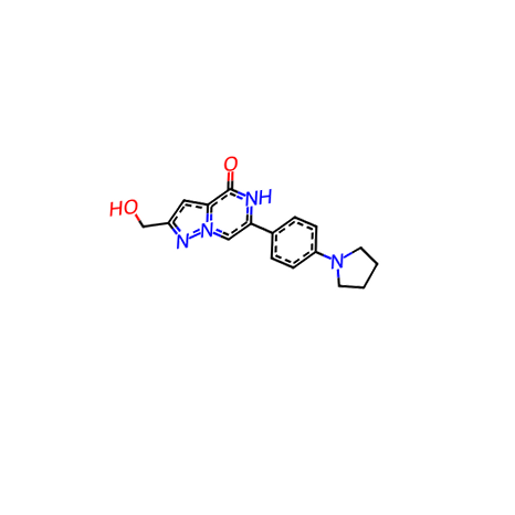 O=c1[nH]c(-c2ccc(N3CCCC3)cc2)cn2nc(CO)cc12